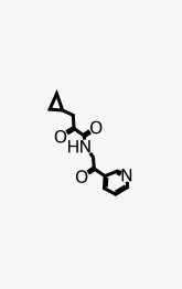 O=C(CC1CC1)C(=O)NCC(=O)c1cccnc1